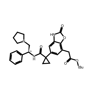 CC(C)(C)OC(=O)Cc1cc(C2(C(=O)N[C@H](CN3CCCC3)c3ccccc3)CC2)cc2[nH]c(=O)oc12